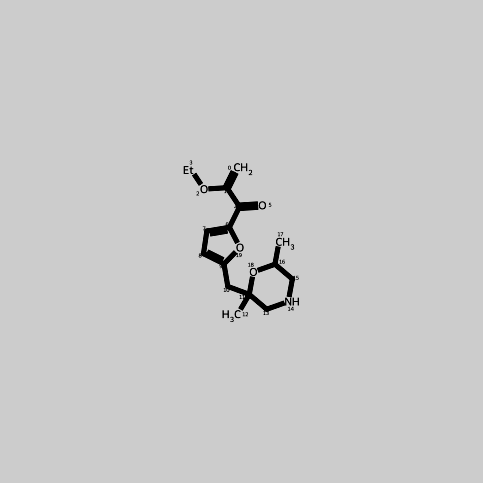 C=C(OCC)C(=O)c1ccc(CC2(C)CNCC(C)O2)o1